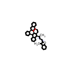 C=c1/c(=C\C=C(/C)c2c3c(c(-c4ccccc4-c4ccc5ccccc5c4)c4ccccc24)CCC=C3)oc2ccccc12